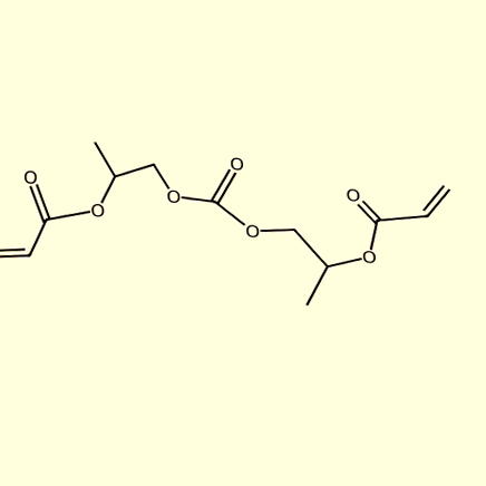 C=CC(=O)OC(C)COC(=O)OCC(C)OC(=O)C=C